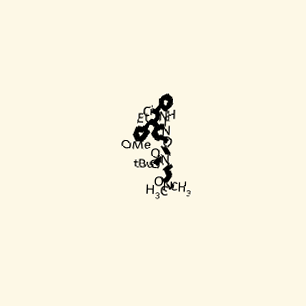 CC/C(=C(/c1ccc(OCCN(C/C=C/C(=O)N(C)C)C(=O)OC(C)(C)C)nc1F)c1[nH]c2ccccc2c1Cl)c1cccc(OC)c1